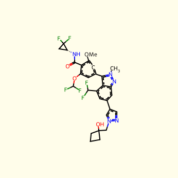 COc1cc(-c2c3c(C(F)F)cc(-c4cnn(CC5(O)CCC5)c4)cc3nn2C)cc(OC(F)F)c1C(=O)N[C@@H]1CC1(F)F